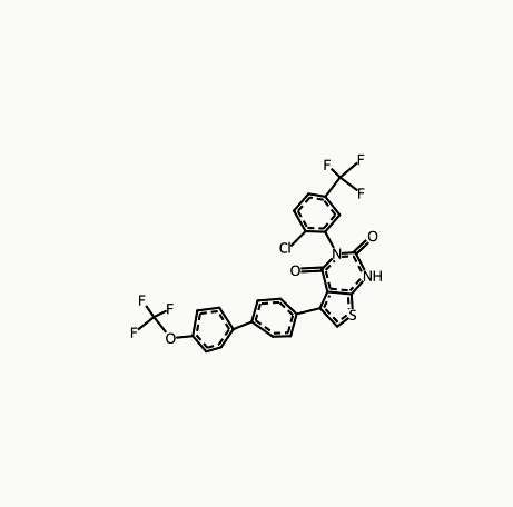 O=c1[nH]c2scc(-c3ccc(-c4ccc(OC(F)(F)F)cc4)cc3)c2c(=O)n1-c1cc(C(F)(F)F)ccc1Cl